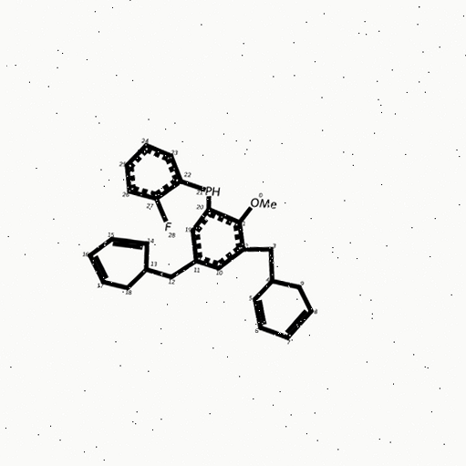 COc1c(CC2C=CC=CC2)cc(CC2C=CC=CC2)cc1Pc1ccccc1F